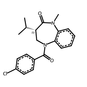 CC(C)[C@H]1CN(C(=O)c2ccc(Cl)cc2)c2ccccc2N(C)C1=O